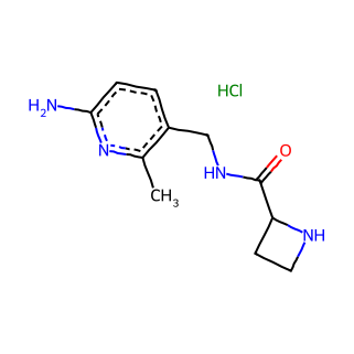 Cc1nc(N)ccc1CNC(=O)C1CCN1.Cl